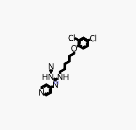 N#CN/C(=N\c1ccncc1)NCCCCCCOc1ccc(Cl)cc1Cl